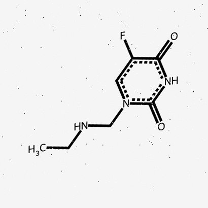 CCNCn1cc(F)c(=O)[nH]c1=O